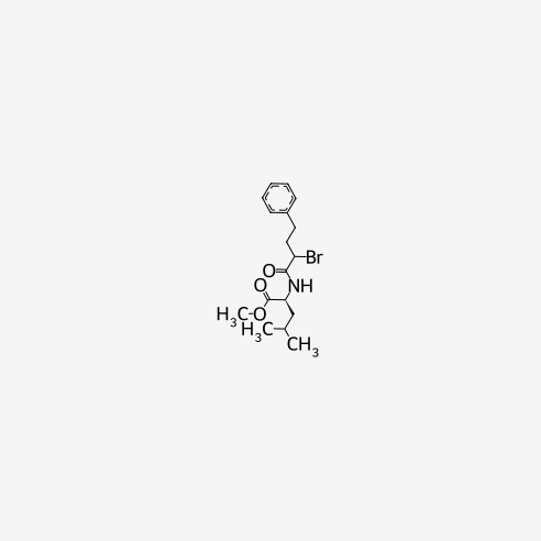 COC(=O)[C@H](CC(C)C)NC(=O)C(Br)CCc1ccccc1